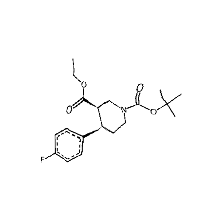 CCOC(=O)[C@H]1CN(C(=O)OC(C)(C)C)CC[C@H]1c1ccc(F)cc1